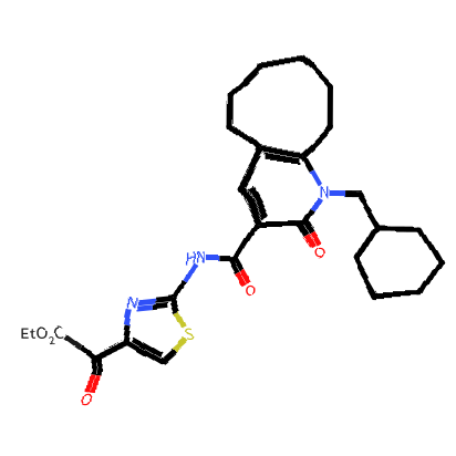 CCOC(=O)C(=O)c1csc(NC(=O)c2cc3c(n(CC4CCCCC4)c2=O)CCCCCC3)n1